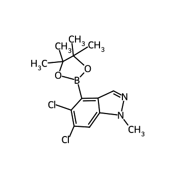 Cn1ncc2c(B3OC(C)(C)C(C)(C)O3)c(Cl)c(Cl)cc21